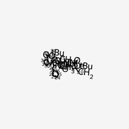 C=CCCC(NC(=O)OC(C)(C)C)C(=O)NC(C)(C)C(=O)NC(Cc1ccccc1)C(=O)N1CCCC1C(=O)OC(C)(C)C